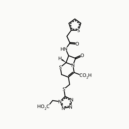 O=C(O)Cn1nnnc1SCC1=C(C(=O)O)N2C(=O)C(NC(=O)Cc3cccs3)[C@H]2SC1